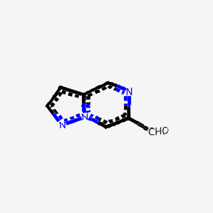 O=Cc1cn2nccc2cn1